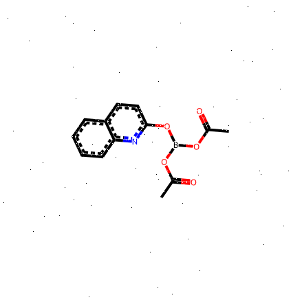 CC(=O)OB(OC(C)=O)Oc1ccc2ccccc2n1